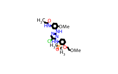 C=CC(=O)Nc1ccc(OC)c(Nc2ncc(Cl)c(Nc3cccc(OCCOC)c3P(C)(C)=O)n2)c1